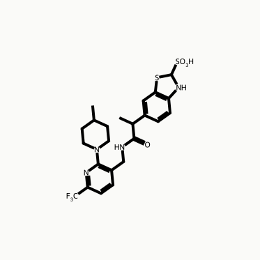 CC1CCN(c2nc(C(F)(F)F)ccc2CNC(=O)C(C)c2ccc3c(c2)SC(S(=O)(=O)O)N3)CC1